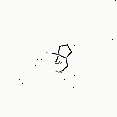 CCCCCCN1CCC[Si]1(C)OC